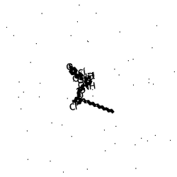 CCCCCCCCCCCCCCc1cc(Cl)c(C)cc1OCC(C)OC(=O)Nc1ccc(Cl)c(NC(=O)C(Cl)C(=O)c2ccc(OC)cc2)c1